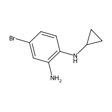 Nc1cc(Br)ccc1NC1CC1